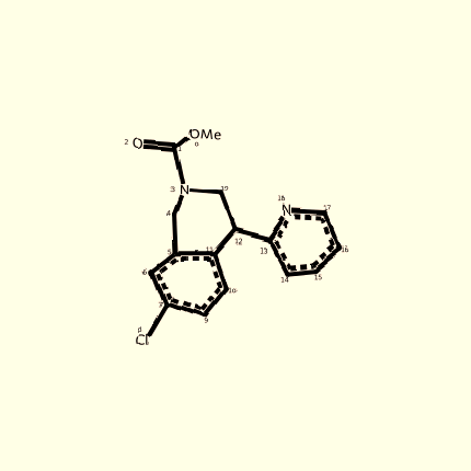 COC(=O)N1Cc2cc(Cl)ccc2C(c2ccccn2)C1